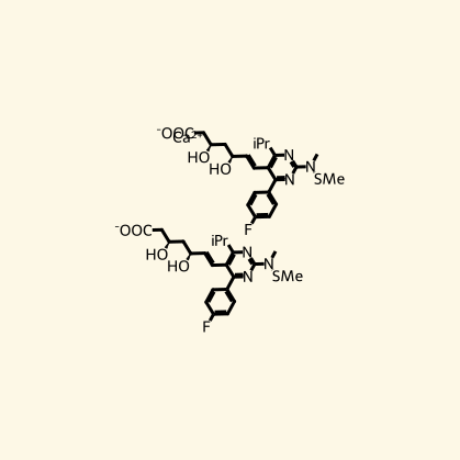 CSN(C)c1nc(-c2ccc(F)cc2)c(/C=C/[C@@H](O)C[C@@H](O)CC(=O)[O-])c(C(C)C)n1.CSN(C)c1nc(-c2ccc(F)cc2)c(/C=C/[C@@H](O)C[C@@H](O)CC(=O)[O-])c(C(C)C)n1.[Ca+2]